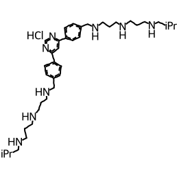 CC(C)CNCCCNCCCNCc1ccc(-c2cc(-c3ccc(CNCCCNCCCNCC(C)C)cc3)ncn2)cc1.Cl